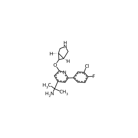 CC(C)(N)c1cc(OC2[C@H]3CNC[C@@H]23)nc(-c2ccc(F)c(Cl)c2)c1